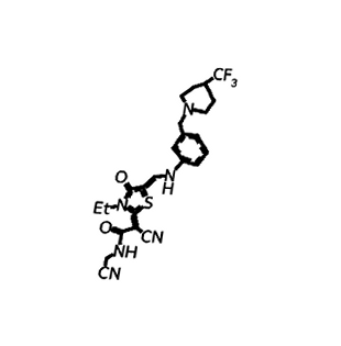 CCn1c(=C(C#N)C(=O)NCC#N)sc(=CNc2cccc(CN3CCC(C(F)(F)F)CC3)c2)c1=O